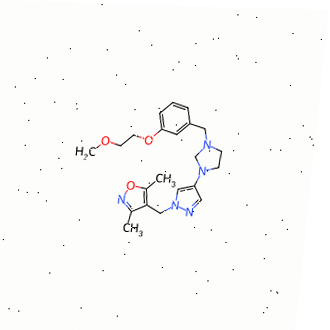 COCCOc1cccc(CN2CCN(c3cnn(Cc4c(C)noc4C)c3)C2)c1